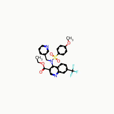 CCOC(=O)c1cnc2cc(C(F)(F)F)ccc2c1N(Cc1cccnc1)S(=O)(=O)c1ccc(OC)cc1